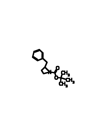 CC(C)(C)OC(=O)N1CCC1Cc1ccccc1